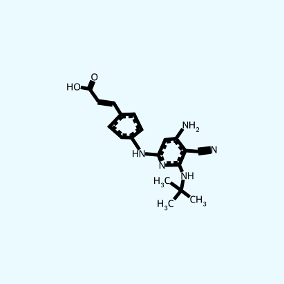 CC(C)(C)Nc1nc(Nc2ccc(/C=C/C(=O)O)cc2)cc(N)c1C#N